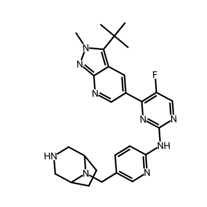 Cn1nc2ncc(-c3nc(Nc4ccc(CN5C6CCC5CNC6)cn4)ncc3F)cc2c1C(C)(C)C